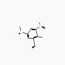 Cc1c([C]=O)cc([N+](=O)[O-])cc1[N+](=O)[O-]